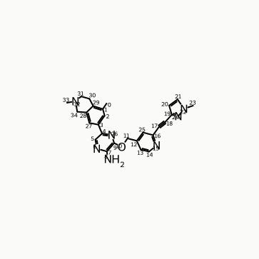 Cc1cc(-c2cnc(N)c(OCc3ccnc(C#Cc4ccn(C)n4)c3)n2)cc2c1CCN(C)C2